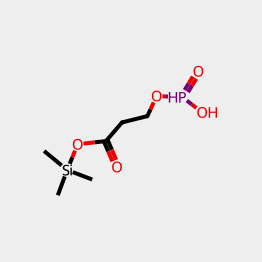 C[Si](C)(C)OC(=O)CCO[PH](=O)O